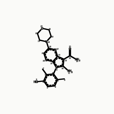 Cc1ccc(O)c(C)c1-n1c(N)c(C(N)=O)c2nc(N3CCOCC3)cnc21